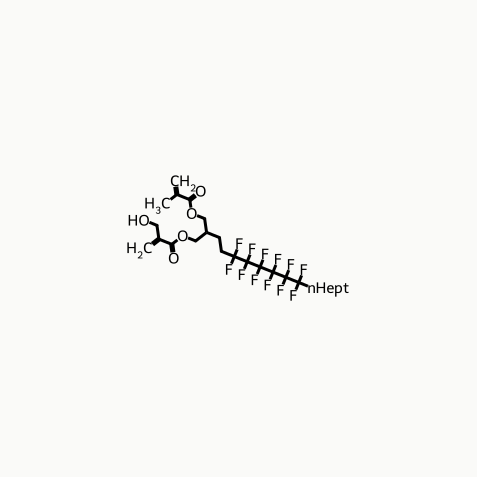 C=C(C)C(=O)OCC(CCC(F)(F)C(F)(F)C(F)(F)C(F)(F)C(F)(F)C(F)(F)CCCCCCC)COC(=O)C(=C)CO